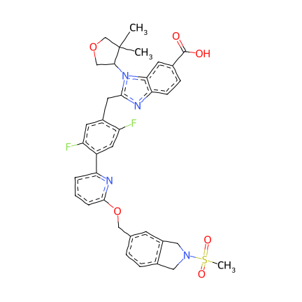 CC1(C)COCC1n1c(Cc2cc(F)c(-c3cccc(OCc4ccc5c(c4)CN(S(C)(=O)=O)C5)n3)cc2F)nc2ccc(C(=O)O)cc21